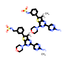 C.C.Cc1c(-c2cccc(CN=S(=O)=O)c2)sc2c(N3CCOCC3)nc(-c3cnc(N)nc3)nc12.Cc1c(-c2cccc(N=S(=O)=O)c2)sc2c(N3CCOCC3)nc(-c3cnc(N)nc3)nc12